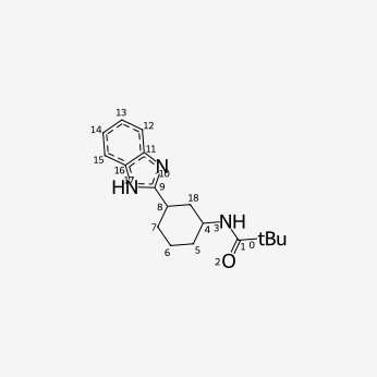 CC(C)(C)C(=O)NC1CCCC(c2nc3ccccc3[nH]2)C1